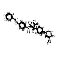 COC1=CN(c2ccc(C(C)(C(=O)Nc3ccc(OCc4ccccn4)cc3)C(C)C)cc2)CN=C1